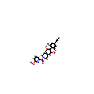 CC#Cc1cc(C)c(C2C(=O)CC3(CCN(C(=O)c4cccc(OC)n4)CC3)CC2=O)c(C)c1